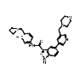 C/C=C(\C=C/CCN1CCC1)NC(=O)c1n[nH]c2ccc(-c3cncc(CN4CCOCC4)c3)cc12